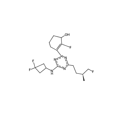 C[C@H](CF)CCc1nc(NC2CC(F)(F)C2)nc(C2=C(F)C(O)CCC2)n1